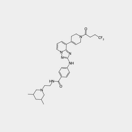 CC1CC(C)CN(CCNC(=O)c2ccc(Nc3nc4c(C5=CCN(C(=O)CCC(F)(F)F)CC5)cccn4n3)cc2)C1